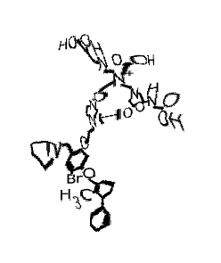 Cc1c(COc2cc(OCCCN3CCN(COC[N+](CCNCC4OC4O)(CCN(CCNCC(=O)O)CC(=O)O)CC(=O)O)CC3)c(CN3CCCCC3)cc2Br)cccc1-c1ccccc1